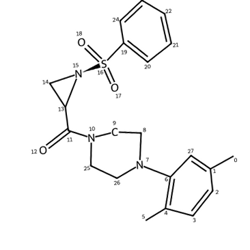 Cc1ccc(C)c(N2CCN(C(=O)C3C[N@@]3S(=O)(=O)c3ccccc3)CC2)c1